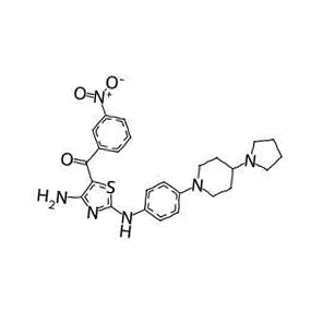 Nc1nc(Nc2ccc(N3CCC(N4CCCC4)CC3)cc2)sc1C(=O)c1cccc([N+](=O)[O-])c1